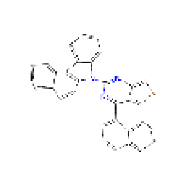 c1ccc2c(-c3nc(-n4c5ccccc5c5c6ccccc6ccc54)nc4cscc34)cccc2c1